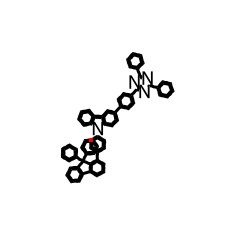 c1ccc(-c2nc(-c3ccccc3)nc(-c3ccc(-c4ccc5c(c4)c4ccccc4n5-c4ccc(-c5cccc6c5C(c5ccccc5)(c5ccccc5)c5ccccc5-6)cc4)cc3)n2)cc1